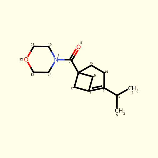 CC(C)C1=C2CC(C(=O)N3CCOCC3)(CC1)C2